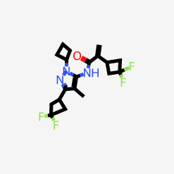 C=C(C(=O)Nc1c(C)c(C2CC(F)(F)C2)nn1C1CCC1)C1CC(F)(F)C1